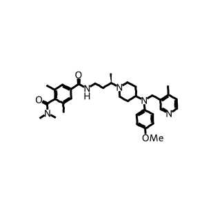 COc1ccc(N(Cc2cnccc2C)C2CCN([C@H](C)CCNC(=O)c3cc(C)c(C(=O)N(C)C)c(C)c3)CC2)cc1